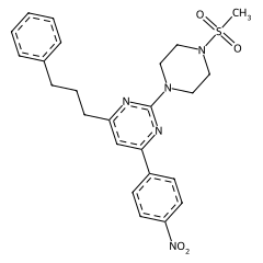 CS(=O)(=O)N1CCN(c2nc(CCCc3ccccc3)cc(-c3ccc([N+](=O)[O-])cc3)n2)CC1